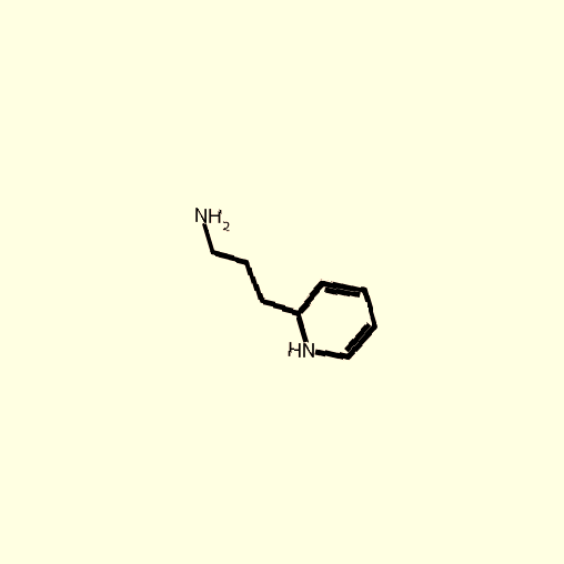 NCCCC1C=CC=CN1